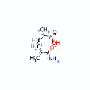 C=C(C)C(N)=O.CC(C)C(=O)O